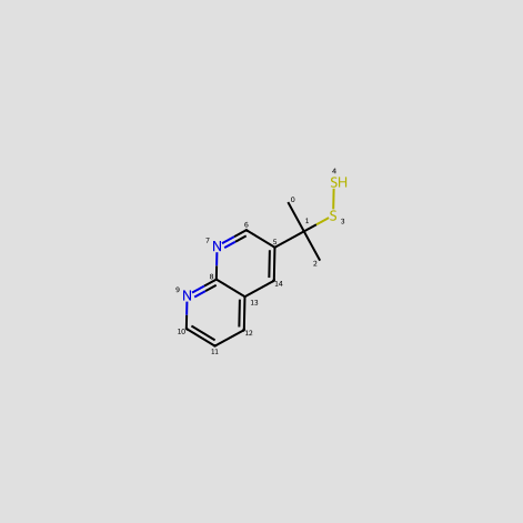 CC(C)(SS)c1cnc2ncccc2c1